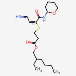 CCCCC(CC)COC(=O)CCS/C(=C/C=N)C(=O)NC1CCCCO1